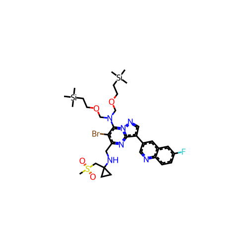 C[Si](C)(C)CCOCN(COCC[Si](C)(C)C)c1c(Br)c(CNC2(CS(C)(=O)=O)CC2)nc2c(-c3cnc4ccc(F)cc4c3)cnn12